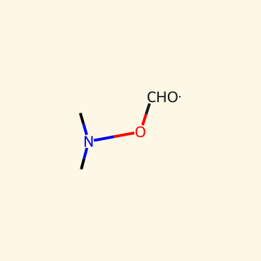 CN(C)O[C]=O